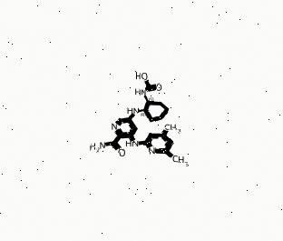 Cc1cc(C)nc(Nc2cc(N[C@@H]3CCCC[C@@H]3NC(=O)O)cnc2C(N)=O)c1